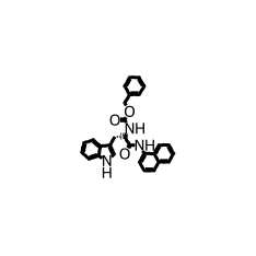 O=C(N[C@@H](Cc1c[nH]c2ccccc12)C(=O)Nc1cccc2ccccc12)OCc1ccccc1